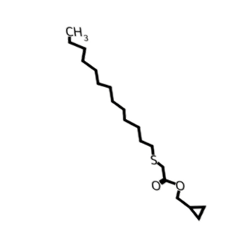 CCCCCCCCCCCCCSCC(=O)OCC1CC1